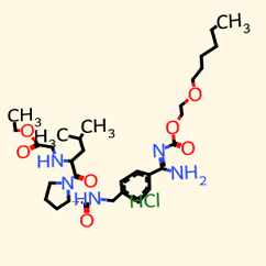 CCCCCCOCCOC(=O)N=C(N)c1ccc(CNC(=O)[C@@H]2CCCN2C(=O)C(CC(C)C)NCC(=O)OCC)cc1.Cl